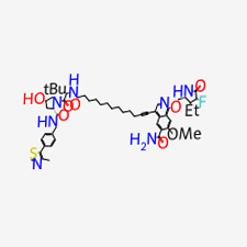 CC[C@@H]1[C@H](F)C(=O)N[C@@H]1COc1ncc(C#CCCCCCCCCCCC(=O)N[C@H](C(=O)N2C[C@H](O)C[C@H]2C(=O)NCc2ccc(-c3scnc3C)cc2)C(C)(C)C)c2cc(C(N)=O)c(OC)cc12